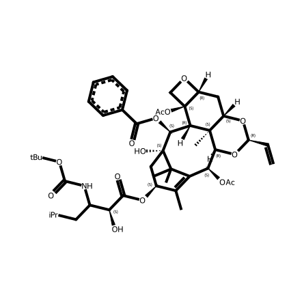 C=C[C@@H]1O[C@H]2C[C@H]3OC[C@@]3(OC(C)=O)[C@H]3[C@H](OC(=O)c4ccccc4)[C@]4(O)C[C@H](OC(=O)[C@@H](O)C(CC(C)C)NC(=O)OC(C)(C)C)C(C)=C([C@H](OC(C)=O)[C@H](O1)[C@]23C)C4(C)C